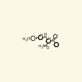 CN1CCN(c2ccc(Nc3cc(C(N)=O)cc(N(c4ccccc4)N4CCCC4)n3)nc2)CC1